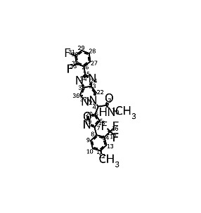 CNC(=O)C(c1cc(-c2ccc(C)cc2C(F)(F)F)no1)n1cc2nc(-c3cccc(F)c3F)nc-2cn1